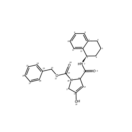 O=C(N[C@@H]1CCCc2ccccc21)C1C=C(O)CN1C(=O)OCc1ccccc1